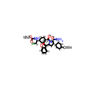 COC1CCC([C@@H]2CC(c3c(C(=O)O)oc4ccccc34)N(C(=O)[C@H]3CC[C@H](C(CF)NC(=O)OC(C)(C)C)CC3)[C@@H]2C(N)=O)CC1